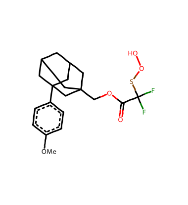 COc1ccc(C23CC4CC(CC(COC(=O)C(F)(F)SOO)(C4)C2)C3)cc1